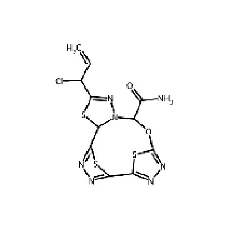 C=CC(Cl)C1=NN2C(C(N)=O)Oc3nnc(s3)-c3nnc(s3)C2S1